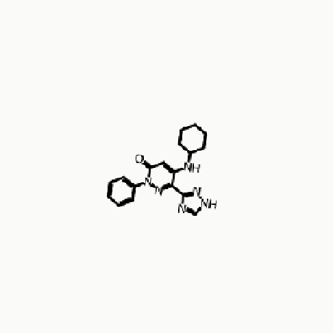 O=c1cc(NC2CCCCC2)c(-c2nc[nH]n2)nn1-c1ccccc1